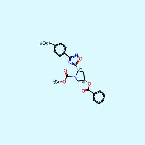 CCCCCCCCc1ccc(-c2noc([C@@H]3C[C@H](OC(=O)c4ccccc4)CN3C(=O)OC(C)(C)C)n2)cc1